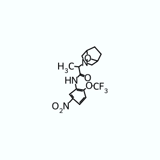 CC(C(=O)Nc1cc([N+](=O)[O-])ccc1OC(F)(F)F)N1CC2CCC(C1)O2